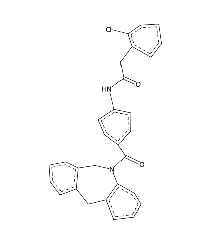 O=C(Cc1ccccc1Cl)Nc1ccc(C(=O)N2Cc3ccccc3Cc3ccccc32)cc1